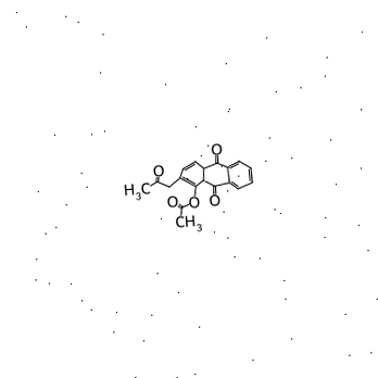 CC(=O)CC1=C(OC(C)=O)C2C(=O)c3ccccc3C(=O)C2C=C1